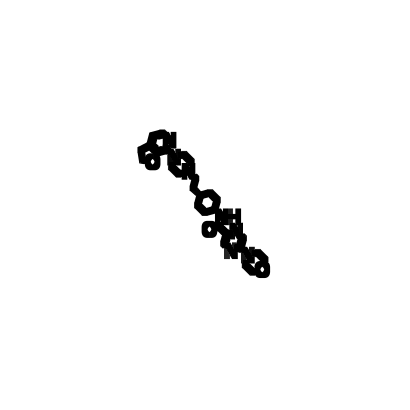 O=C(N[C@H]1CC[C@H](CCN2CCN(c3nccc4c3OCC4)CC2)CC1)c1cnc(N2CCOCC2)cn1